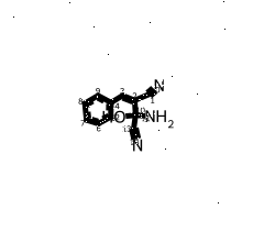 N#CC(=Cc1ccccc1)C(N)(O)C#N